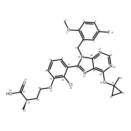 COc1ccc(F)cc1Cn1c(-c2cccc(OCC[C@@H](C)C(=O)O)c2Cl)nc2c(OC3(C)CC3)ncnc21